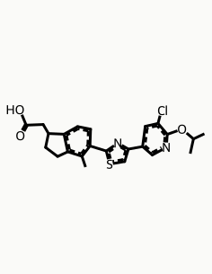 Cc1c(-c2nc(-c3cnc(OC(C)C)c(Cl)c3)cs2)ccc2c1CCC2CC(=O)O